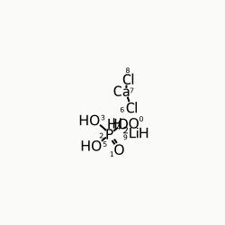 O.O=P(O)(O)O.[Cl][Ca][Cl].[LiH]